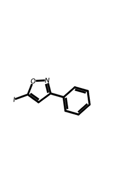 Ic1cc(-c2ccccc2)no1